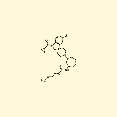 COCCOC(=O)NC1CCCCC(N2CCC3(CC2)CN(C(=O)C2CC2)c2ccc(F)cc23)C1